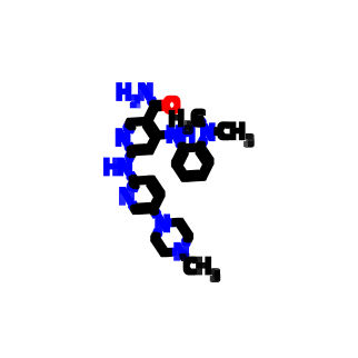 CN1CCN(c2ccc(Nc3cc(Nc4ccccc4N(C)C)c(C(N)=O)cn3)nc2)CC1